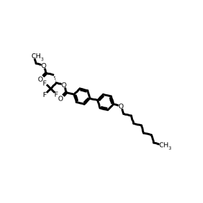 CCCCCCCCOc1ccc(-c2ccc(C(=O)O[C@@H](CC(=O)OCC)C(F)(F)F)cc2)cc1